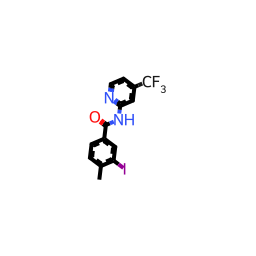 Cc1ccc(C(=O)Nc2cc(C(F)(F)F)ccn2)cc1I